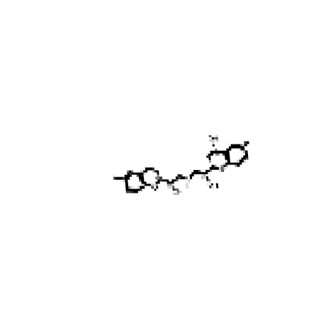 O[C@H]1C[C@H]([C@@H](O)CNC[C@H](O)[C@@H]2CCc3cc(F)ccc3O2)Oc2ccc(F)cc21